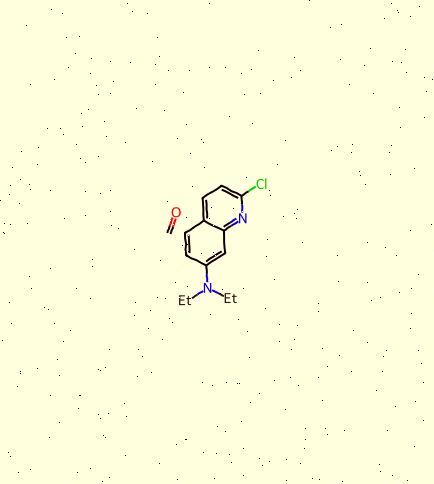 C=O.CCN(CC)c1ccc2ccc(Cl)nc2c1